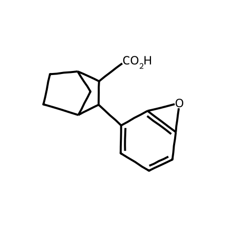 O=C(O)C1C2CCC(C2)C1c1cccc2c1O2